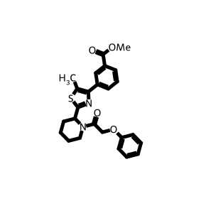 COC(=O)c1cccc(-c2nc(C3CCCCN3C(=O)COc3ccccc3)sc2C)c1